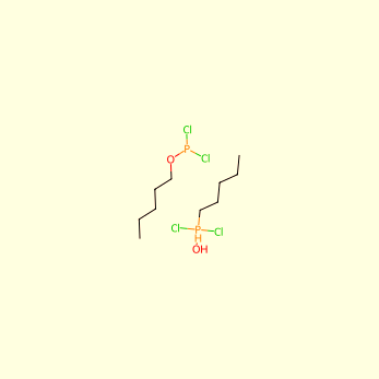 CCCCCOP(Cl)Cl.CCCCC[PH](O)(Cl)Cl